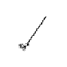 CCCCCCCCCCCCCCCCCCCCCCCCCC(=O)OCC(CO)(CO)CO